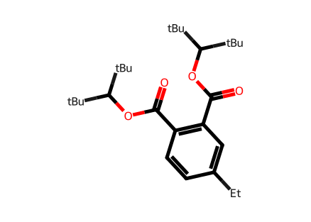 CCc1ccc(C(=O)OC(C(C)(C)C)C(C)(C)C)c(C(=O)OC(C(C)(C)C)C(C)(C)C)c1